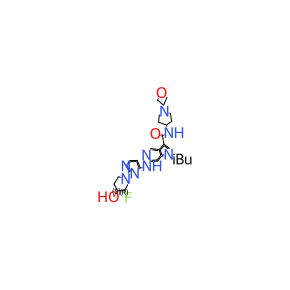 CCC(C)n1cc(C(=O)NC2CCN(C3COC3)CC2)c2cnc(Nc3ccnc(N4CC[C@H](O)[C@H](F)C4)n3)cc21